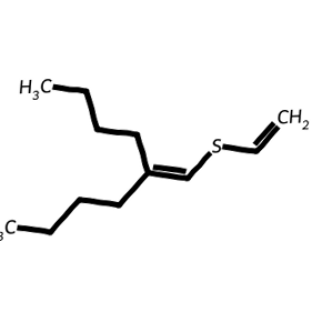 C=CSC=C(CCCC)CCCC